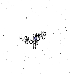 COC(=O)c1ccc(NS(=O)(=O)C2=CC=C(Sc3cccc4cccnc34)C(=N)/C2=N\O)cc1